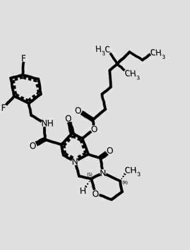 CCCC(C)(C)CCCCC(=O)Oc1c2n(cc(C(=O)NCc3ccc(F)cc3F)c1=O)C[C@@H]1OCC[C@@H](C)N1C2=O